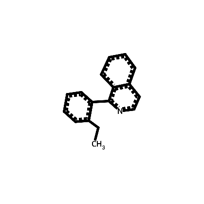 CCc1ccccc1-c1nccc2ccccc12